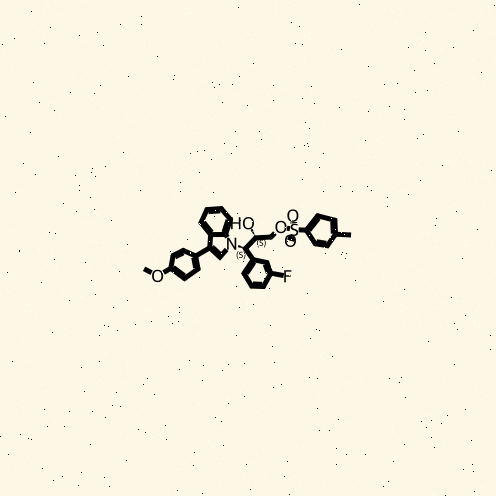 COc1ccc(-c2cn([C@@H](c3cccc(F)c3)[C@H](O)COS(=O)(=O)c3ccc(C)cc3)c3ccccc23)cc1